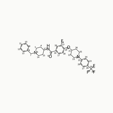 O=C(NC1CCN(Cc2ccccc2)CC1)c1ccc(OC2CCN(c3ccc(C(F)(F)F)cc3)CC2)c(F)c1